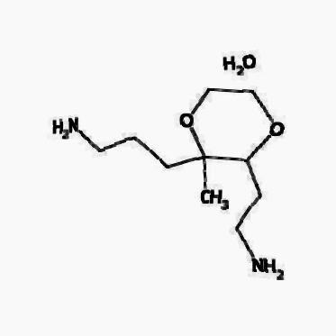 CC1(CCCN)OCCOC1CCN.O